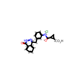 O=C(O)C1CC1C(=O)N(Cl)c1cccc(Cc2n[nH]c(=O)c3ccccc23)c1